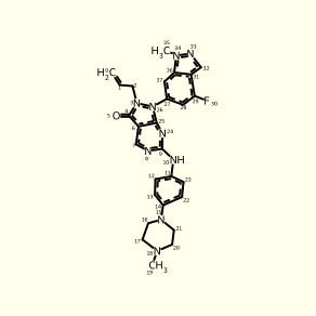 C=CCn1c(=O)c2cnc(Nc3ccc(N4CCN(C)CC4)cc3)nc2n1-c1cc(F)c2cnn(C)c2c1